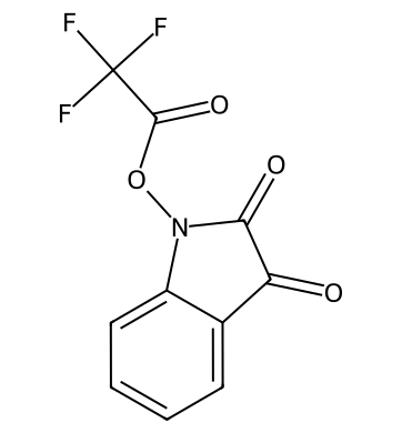 O=C1C(=O)N(OC(=O)C(F)(F)F)c2ccccc21